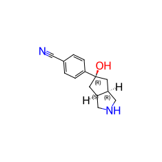 N#Cc1ccc([C@]2(O)C[C@H]3CNC[C@H]3C2)cc1